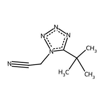 CC(C)(C)c1nnnn1CC#N